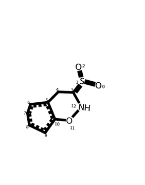 O=S(=O)=C1Cc2ccccc2ON1